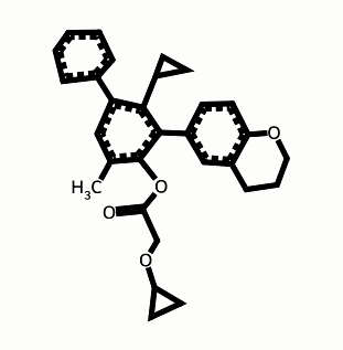 Cc1cc(-c2ccccc2)c(C2CC2)c(-c2ccc3c(c2)CCCO3)c1OC(=O)COC1CC1